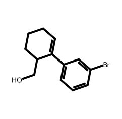 OCC1CCCC=C1c1cccc(Br)c1